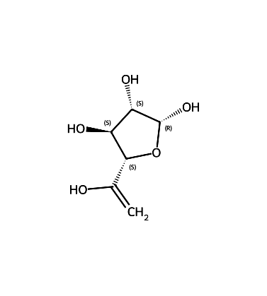 C=C(O)[C@H]1O[C@@H](O)[C@@H](O)[C@@H]1O